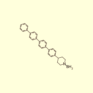 BN1CCC(c2ccc(-c3ccc(-c4ccc(-c5ccccc5)cc4)cc3)cc2)CC1